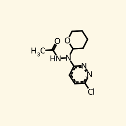 CC(=O)NN(c1ccc(Cl)nn1)C1CCCCO1